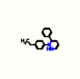 CCc1ccc(N2NC=CC=C2c2ccccc2)cc1